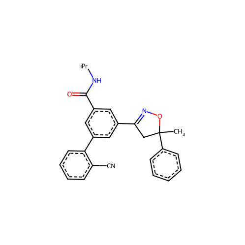 CC(C)NC(=O)c1cc(C2=NOC(C)(c3ccccc3)C2)cc(-c2ccccc2C#N)c1